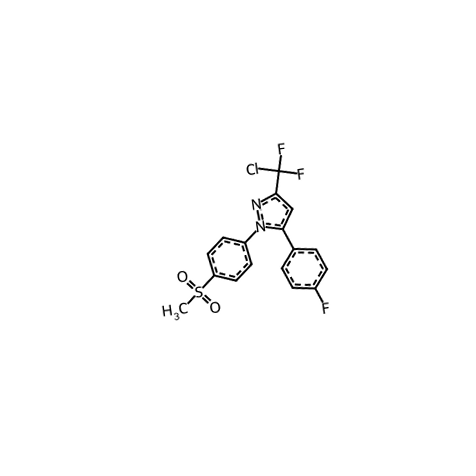 CS(=O)(=O)c1ccc(-n2nc(C(F)(F)Cl)cc2-c2ccc(F)cc2)cc1